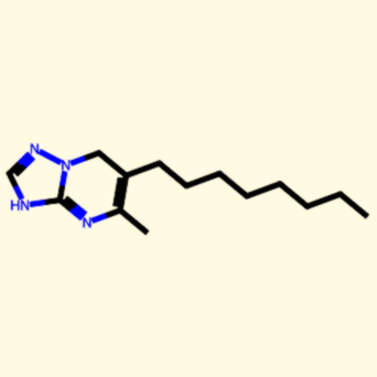 CCCCCCCCC1=C(C)N=C2NC=NN2C1